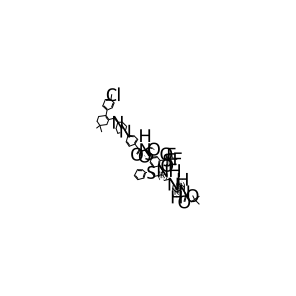 CC1(C)CCC(c2ccc(Cl)cc2)=C(CN2CCN(c3ccc(C(=O)NS(=O)(=O)c4ccc(N[C@H](CCN5C[C@H]6C[C@@H]5CN6C(=O)OC(C)(C)C)CSc5ccccc5)c(S(=O)(=O)C(F)(F)F)c4)cc3)CC2)C1